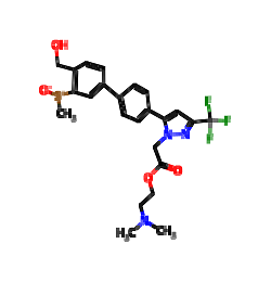 CN(C)CCOC(=O)Cn1nc(C(F)(F)F)cc1-c1ccc(-c2ccc(CO)c([S+](C)[O-])c2)cc1